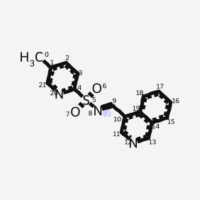 Cc1ccc(S(=O)(=O)/N=C/c2cncc3ccccc23)nc1